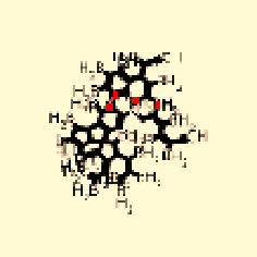 BC(=C)/C(B)=C(/B)C1=C(B)C2(C(=C(B)B)/C1=C(/B)C(B)=C)c1cc(N(C/C(B)=C(B)\C(B)=C(\B)C#C)C/C(B)=C(B)\C(=C(\B)C#C)c3c(B)c(B)c(B)c(B)c3B)c(B)c(B)c1C1=C(B)C(B)=C(B)C12